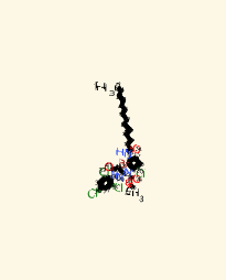 CCCCCCCCCCCCCC(=O)Nc1ccc(Cl)c(N(C(=O)OCC)C2=NN(c3c(Cl)cc(Cl)cc3Cl)C(=O)C2Br)c1